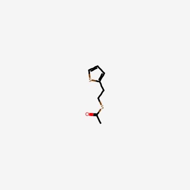 CC(=O)SCCc1cccs1